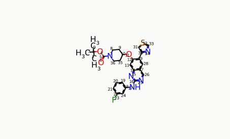 CC(C)(C)OC(=O)N1CCC(Oc2cc3nc(Nc4cccc(F)c4)ncc3cc2-c2cscn2)CC1